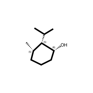 CC(C)[C@@H]1[C@H](O)CCC[C@@H]1C